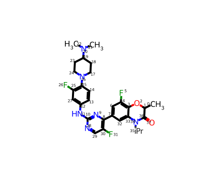 CC1Oc2c(F)cc(-c3nc(Nc4ccc(N5CCC(N(C)C)CC5)c(F)c4)ncc3F)cc2N(C(C)C)C1=O